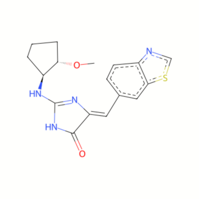 CO[C@H]1CCC[C@@H]1NC1=N/C(=C\c2ccc3ncsc3c2)C(=O)N1